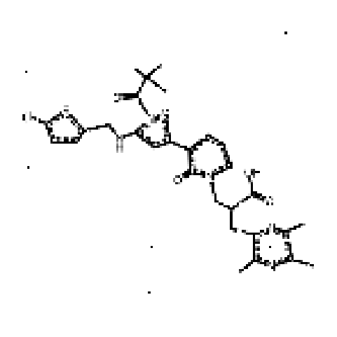 Cc1nc(C)c(CC(Cn2cccc(-c3cc(NCc4ccc(Cl)s4)n(C(=O)C(C)(C)C)n3)c2=O)C(=O)O)nc1C